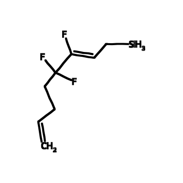 C=CCCC(F)(F)C(F)=CC[SiH3]